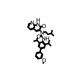 COc1cccc(-c2cc(C(C)C)c(NC(=O)N(CCC(C)C)c3cc4cccnc4[nH]c3=O)c(C(C)C)c2)c1